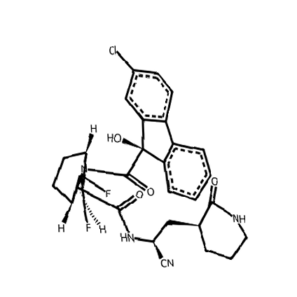 N#C[C@H](C[C@@H]1CCCNC1=O)NC(=O)[C@H]1[C@@H]2CC[C@@H](CC2(F)F)N1C(=O)[C@@]1(O)c2ccccc2-c2ccc(Cl)cc21